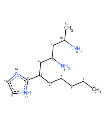 CCCCCC(CC(N)CC(C)N)c1ncc[nH]1